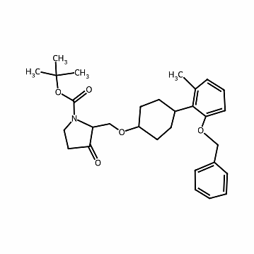 Cc1cccc(OCc2ccccc2)c1C1CCC(OCC2C(=O)CCN2C(=O)OC(C)(C)C)CC1